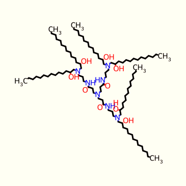 CCCCCCCCCCCCC(O)CN(CCCNC(=O)CCN(CCC(=O)NCCCN(CC(O)CCCCCCCCCCCC)CC(O)CCCCCCCCCCCC)CCC(=O)NCCCN(CC(O)CCCCCCCCCCCC)CC(O)CCCCCCCCCCCC)CC(O)CCCCCCCCCCCC